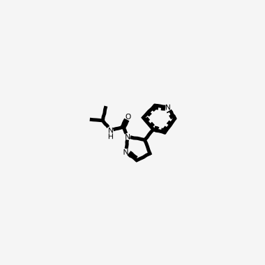 CC(C)NC(=O)N1N=CCC1c1ccncc1